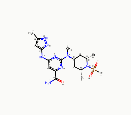 CC[C@@H]1C[C@@H](N(C)c2nc(Nc3cc(C)[nH]n3)cc(C(N)=O)n2)C[C@H](CC)N1S(=O)(=O)CC